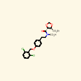 CCOC(=O)[C@@H]1OCO[C@H]1C(=O)N(CCc1ccc(OCc2c(Cl)cccc2Cl)cc1)C(=O)O